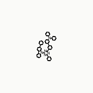 c1ccc(-c2ccc3c4ccccc4n(-c4nc(-c5ccccc5)nc(-c5cccc(-c6cccc(N(c7ccccc7)c7ccccc7)c6)c5)n4)c3c2)cc1